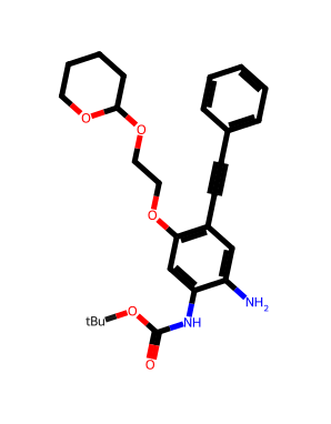 CC(C)(C)OC(=O)Nc1cc(OCCOC2CCCCO2)c(C#Cc2ccccc2)cc1N